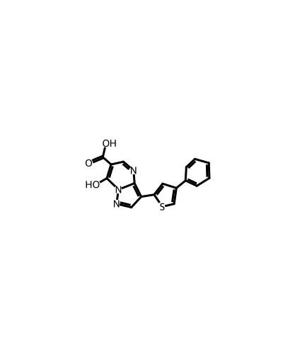 O=C(O)c1cnc2c(-c3cc(-c4ccccc4)cs3)cnn2c1O